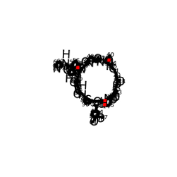 COc1ccc(CC[C@H]2OC(=O)[C@@H]3CCCCN3C(=O)C(=O)C(C)(C)COC(=O)/C=C/CCN(C)C(=O)[C@H](CC(C)C)N(C)C(=O)[C@H]3CCCN3C(=O)[C@H](Cc3ccc(C(=O)Nc4cccnc4)cc3)NC(=O)[C@H](c3ccccc3)NC(=O)CCC(=O)Nc3cccc2c3)cc1OC